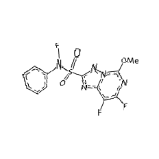 COc1nc(F)c(F)c2nc(S(=O)(=O)N(F)c3ccccc3)nn12